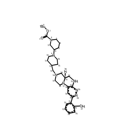 CC(C)(C)OC(=O)N1CCCC(N2CCC(CN3CCN4c5cc(-c6ccccc6O)nnc5NC[C@H]4C3)CC2)C1